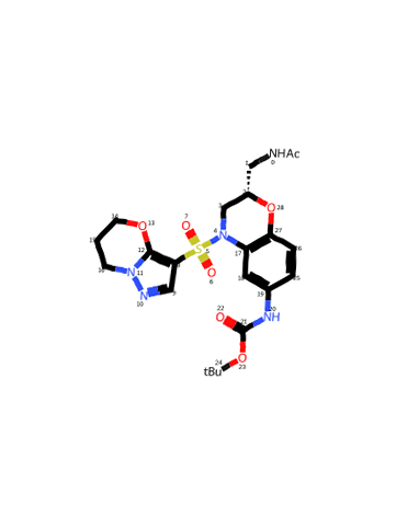 CC(=O)NC[C@H]1CN(S(=O)(=O)c2cnn3c2OCCC3)c2cc(NC(=O)OC(C)(C)C)ccc2O1